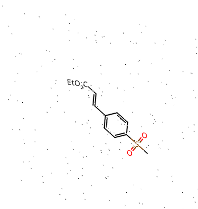 CCOC(=O)C=Cc1ccc(S(C)(=O)=O)cc1